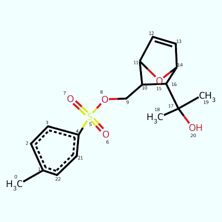 Cc1ccc(S(=O)(=O)OCC2C3C=CC(O3)C2C(C)(C)O)cc1